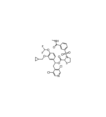 CNC(=O)c1cccc(S(=O)(=O)N2CCSC2C(=O)OC(Cc2c(Cl)cncc2Cl)c2ccc(OC(F)F)c(OCC3CC3)c2)c1